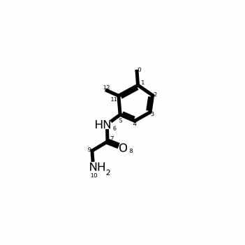 Cc1cccc(NC(=O)CN)c1C